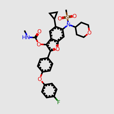 CNC(=O)Oc1c(-c2ccc(Oc3ccc(F)cc3)cc2)oc2cc(N(C3CCOCC3)S(C)(=O)=O)c(C3CC3)cc12